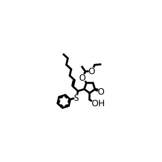 CCCCCC=CC(Sc1ccccc1)C1C(OC(C)OCC)CC(=O)C1CO